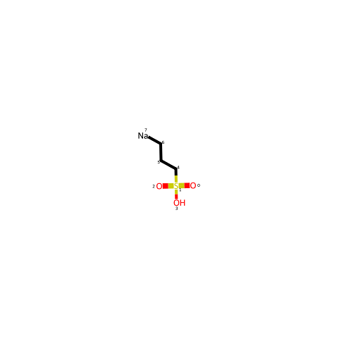 O=S(=O)(O)CC[CH2][Na]